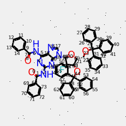 O=C(Nc1nc(NC(=O)c2ccccc2)c2ncn([C@@H]3O[C@H](COC(c4ccccc4)(c4ccccc4)c4ccccc4)[C@@H](OC(c4ccccc4)(c4ccccc4)c4ccccc4)[C@@H]3F)c2n1)c1ccccc1